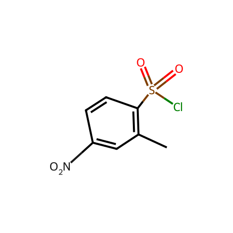 Cc1cc([N+](=O)[O-])ccc1S(=O)(=O)Cl